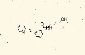 O=C(NCCCCO)c1cccc(/C=C/c2ccccn2)c1